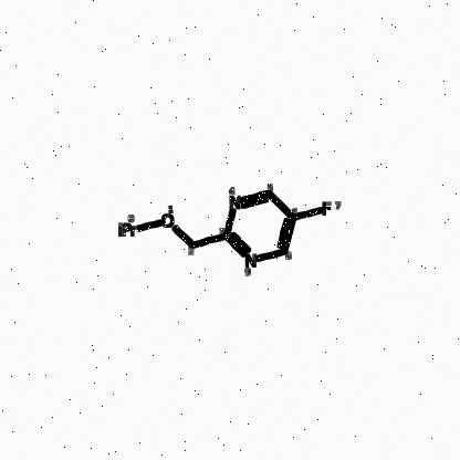 CC(C)OCc1ncc(F)cn1